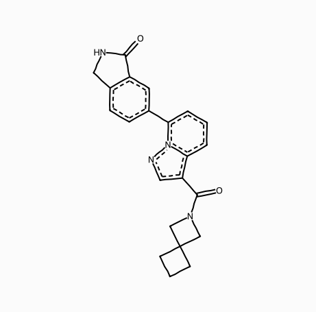 O=C1NCc2ccc(-c3cccc4c(C(=O)N5CC6(CCC6)C5)cnn34)cc21